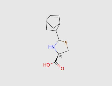 O=C(O)[C@@H]1CSC(C2CC3C=CC2C3)N1